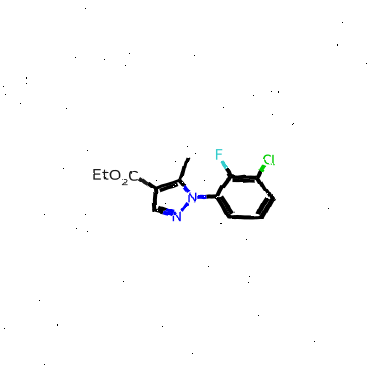 CCOC(=O)c1cnn(-c2cccc(Cl)c2F)c1C